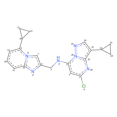 Clc1cc(NCc2cn3c(C4CC4)cccc3n2)n2ncc(C3CC3)c2n1